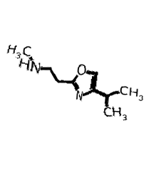 CNCCc1nc(C(C)C)co1